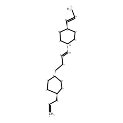 C=CC[C@H]1CC[C@H](CC/C=C/[C@H]2CC[C@H](/C=C/C)CC2)CC1